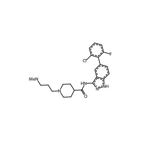 CNCCCN1CCC(C(=O)Nc2n[nH]c3ccc(-c4c(F)cccc4Cl)cc23)CC1